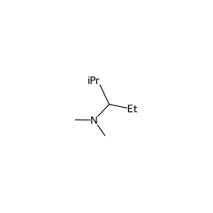 CCC(C(C)C)N(C)C